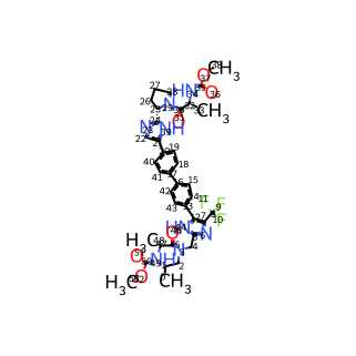 CCCN(Cc1nc(C(F)(F)F)c(-c2ccc(-c3ccc(-c4cnc([C@@H]5CCCN5C(=O)[C@H](C)NC(=O)OC)[nH]4)cc3)cc2)[nH]1)C(=O)[C@H](C)NC(=O)OC